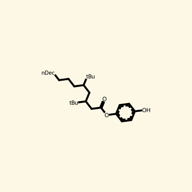 CCCCCCCCCCCCCC(CC(CC(=O)Oc1ccc(O)cc1)C(C)(C)C)C(C)(C)C